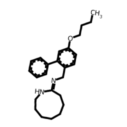 CCCCOc1ccc(CN=C2CCCCCCCN2)c(-c2ccccc2)c1